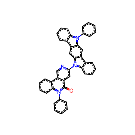 O=c1c2cc(-n3c4ccccc4c4cc5c(cc43)c3ccccc3n5-c3ccccc3)ncc2c2ccccc2n1-c1ccccc1